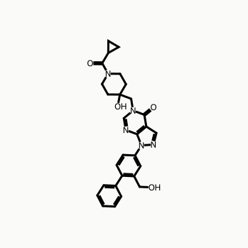 O=C(C1CC1)N1CCC(O)(Cn2cnc3c(cnn3-c3ccc(-c4ccccc4)c(CO)c3)c2=O)CC1